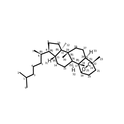 CC(C)CCC[C@@H](C)[C@H]1CC[C@]2(C)[C@@H]1CC[C@@H]1[C@@]3(C)C4CC[C@](C)(CO4)[C@@H]3CC[C@]12C